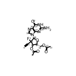 C#CC1(F)C(OC(C)=O)[C@@H](COC(C)=O)O[C@H]1n1cnc2c(=O)[nH]c(N)nc21